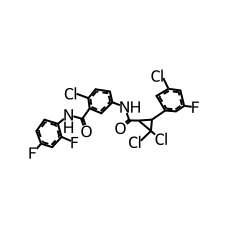 O=C(Nc1ccc(F)cc1F)c1cc(NC(=O)C2C(c3cc(F)cc(Cl)c3)C2(Cl)Cl)ccc1Cl